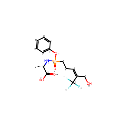 C[C@H](NP(=O)(CC/C=C(/CO)C(F)(F)F)Oc1ccccc1)C(=O)O